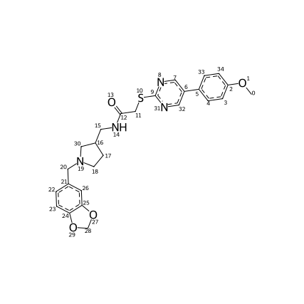 COc1ccc(-c2cnc(SCC(=O)NCC3CCN(Cc4ccc5c(c4)OCO5)C3)nc2)cc1